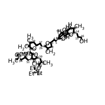 C=C1CC(CC[C@@]23C[C@H]4O[C@@H]5[C@@H](O[C@@H](CCCO)C(C)[C@@H]5O2)[C@H]4O3)O[C@H]1CCC1C[C@@H](C)C(=C)[C@@H](CC2O[C@H](C[C@H](C)CO[Si](CC)(CC)CC)[C@H](C)[C@H]2CC(=O)CP(C)(=O)OC)O1